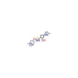 Cc1ccn(-c2ccc(-c3nnc(OC4CC5C(C)CCC(C)(C4)N5C)s3)c(O)c2)n1